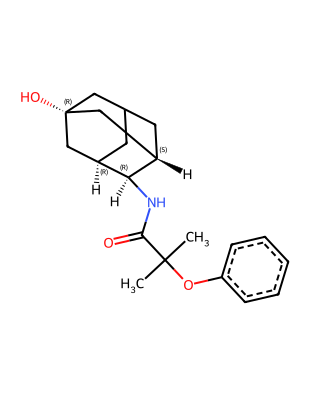 CC(C)(Oc1ccccc1)C(=O)N[C@H]1[C@@H]2CC3C[C@H]1C[C@](O)(C3)C2